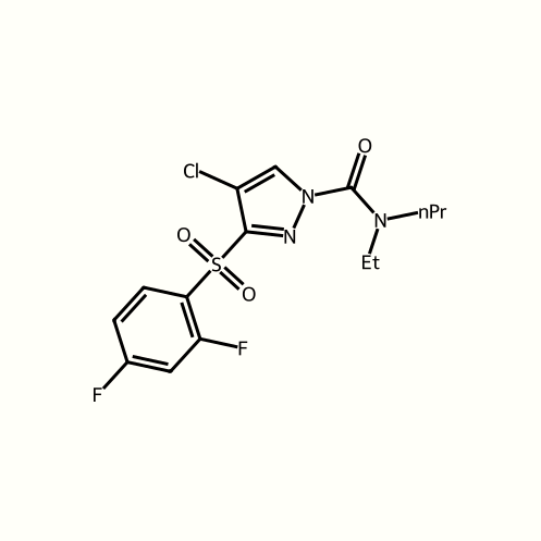 CCCN(CC)C(=O)n1cc(Cl)c(S(=O)(=O)c2ccc(F)cc2F)n1